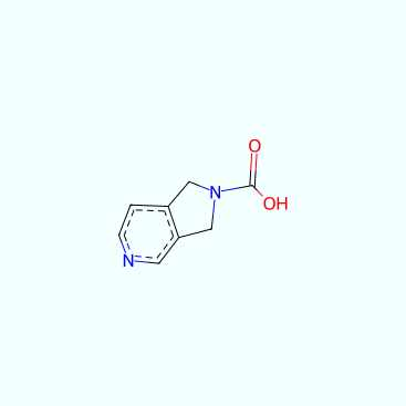 O=C(O)N1Cc2ccncc2C1